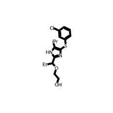 CCC(OCCO)c1nc(Sc2cccc(Cl)c2)c(C(C)C)[nH]1